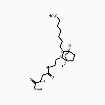 CCCCCC(=S)NCC(=O)NCC[C@H]1[C@@H](CCCCCCC(=O)O)[C@H]2CC[C@@H]1O2